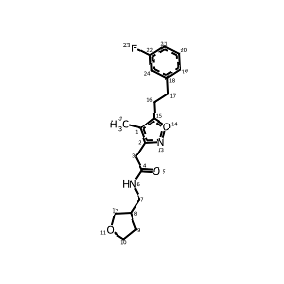 Cc1c(CC(=O)NCC2CCOC2)noc1CCc1cccc(F)c1